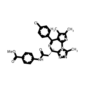 COC(=O)c1ccc(NC(=O)C[C@@H]2N=C(c3ccc(Cl)cc3)c3c(sc(C)c3C)-n3c(C)nnc32)cc1